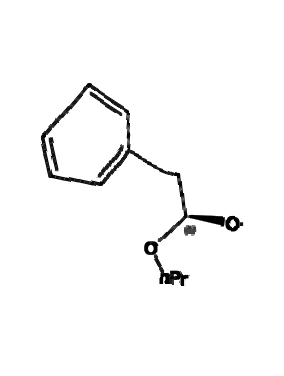 CCCO[C@H]([O])Cc1ccccc1